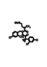 CNCCN(C)C(=O)[C@H](Cc1ccc(Cl)cc1Cl)NC(=O)C1(c2ccc(Cl)cc2Cl)CC1